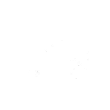 c1ccc(-c2ccc3c(c2)c2ccccc2c2c(-c4ccc(N(c5ccccc5)c5ccccc5)cc4)cc(-c4ccccc4)c(-c4ccccc4)c32)cc1